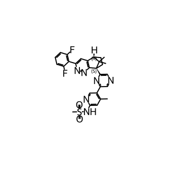 Cc1cc(NS(C)(=O)=O)ncc1-c1cncc([C@@]23CC[C@@H](c4cc(-c5c(F)cccc5F)nnc42)C3(C)C)n1